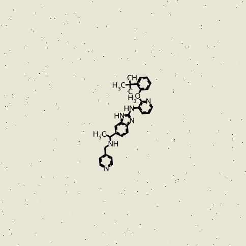 CC(NCc1ccncc1)c1ccc2nc(Nc3cccnc3Oc3ccccc3C(C)(C)C)[nH]c2c1